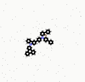 c1ccc(-c2ccc(N(c3ccc(-c4ccc5c(c4)c4ccccc4n5-c4ccc5c6ccccc6c6ccccc6c5c4)cc3)c3cccc4c3sc3ccccc34)cc2)cc1